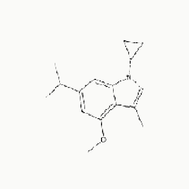 COc1cc(C(C)C)cc2c1c(C)cn2C1CC1